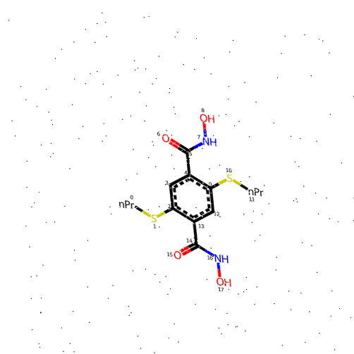 CCCSc1cc(C(=O)NO)c(SCCC)cc1C(=O)NO